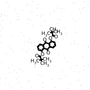 CC(C)(C)C(=O)Oc1cccc2c1C(=O)c1cccc(OC(=O)C(C)(C)C)c1C2=O